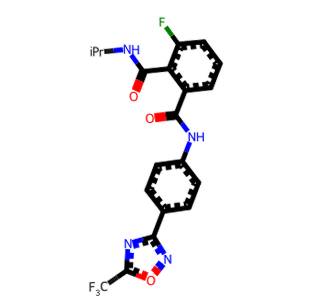 CC(C)NC(=O)c1c(F)cccc1C(=O)Nc1ccc(-c2noc(C(F)(F)F)n2)cc1